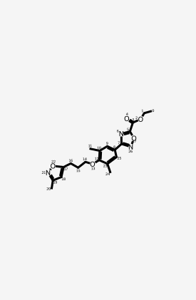 CCOC(=O)c1nc(-c2cc(C)c(OCCCc3cc(C)no3)c(C)c2)no1